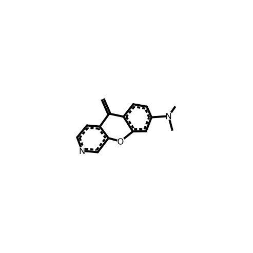 C=C1c2ccncc2Oc2cc(N(C)C)ccc21